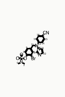 CN(C)S(=O)(=O)Oc1ccc(CN(c2ccc(C#N)cc2)n2ccnc2)cc1Br